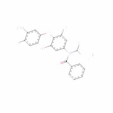 CCC(C)c1cc(Oc2c(Br)cc(N(C(=O)c3ccccc3)C(C)C(=O)O)cc2Br)ccc1O